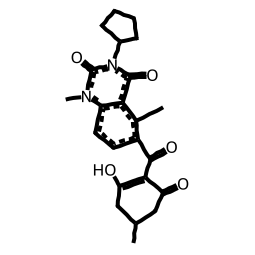 Cc1c(C(=O)C2=C(O)CC(C)CC2=O)ccc2c1c(=O)n(C1CCCC1)c(=O)n2C